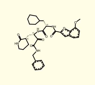 COc1cccc2cc(C(=O)N[C@@H](CC3CCCCC3)C(=O)N[C@@H](C[C@@H]3CCCNC3=O)C(=O)C(=O)NCc3ccccc3)oc12